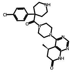 C[C@@H]1CC(=O)Nc2ncnc(N3CCN(C(=O)C4(c5ccc(Cl)cc5)CCNCC4)CC3)c21